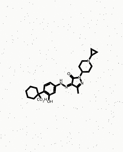 CC1=NN(C2CCN(C3CC3)CC2)C(=O)C1=NNc1ccc(C2(C(=O)O)CCCCC2)c(O)c1